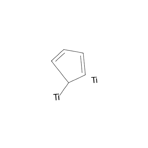 [Ti].[Ti][CH]1C=CC=C1